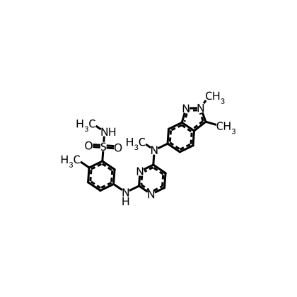 CNS(=O)(=O)c1cc(Nc2nccc(N(C)c3ccc4c(C)n(C)nc4c3)n2)ccc1C